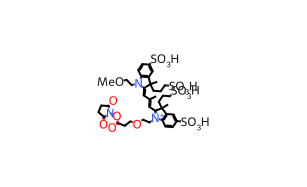 COCCN1/C(=C/C(C)=C/C2=[N+](CCOCCC(=O)ON3C(=O)CCC3=O)c3ccc(S(=O)(=O)O)cc3C2(C)CCCS(=O)(=O)O)C(C)(CCCS(=O)(=O)O)c2cc(S(=O)(=O)O)ccc21